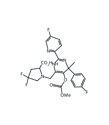 COC(=O)OC1=C(CN2CC(F)(F)CC2C(=O)O)NC(c2ccc(F)cn2)=NC1(C)c1ccc(F)cc1